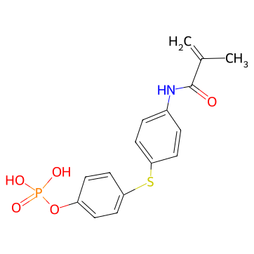 C=C(C)C(=O)Nc1ccc(Sc2ccc(OP(=O)(O)O)cc2)cc1